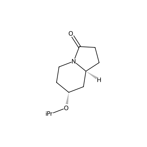 CC(C)O[C@@H]1CCN2C(=O)CC[C@H]2C1